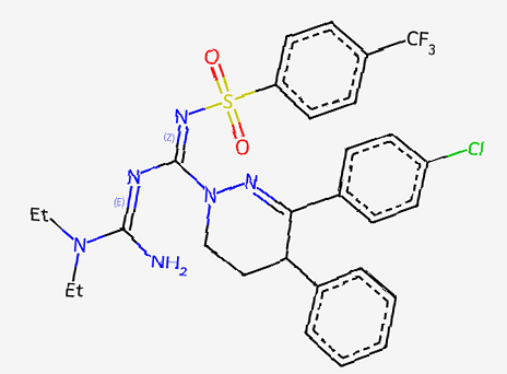 CCN(CC)/C(N)=N/C(=N/S(=O)(=O)c1ccc(C(F)(F)F)cc1)N1CCC(c2ccccc2)C(c2ccc(Cl)cc2)=N1